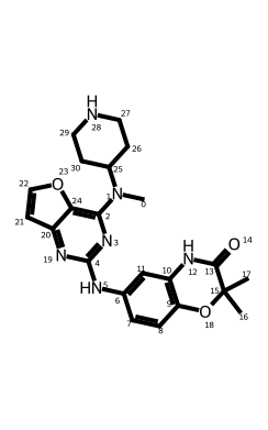 CN(c1nc(Nc2ccc3c(c2)NC(=O)C(C)(C)O3)nc2ccoc12)C1CCNCC1